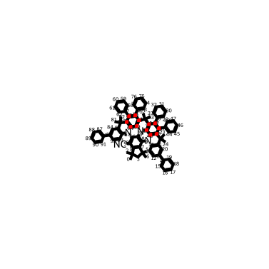 CC1(C)CC(C)(C)c2c(N3c4ccc(-c5ccccc5)cc4C(C)(C)c4cc(-c5ccccc5)ccc43)c(N3c4ccc(-c5ccccc5)cc4C(C)(C)c4cc(-c5ccccc5)ccc43)c(N3c4ccc(-c5ccccc5)cc4C(C)(C)c4cc(-c5ccccc5)ccc43)c(C#N)c21